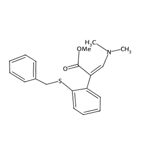 COC(=O)C(=CN(C)C)c1ccccc1SCc1ccccc1